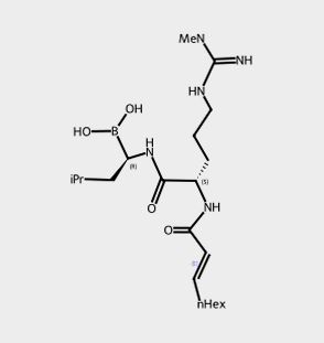 CCCCCC/C=C/C(=O)N[C@@H](CCCNC(=N)NC)C(=O)N[C@@H](CC(C)C)B(O)O